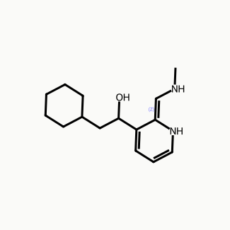 CN/C=C1\NC=CC=C1C(O)CC1CCCCC1